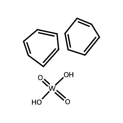 [O]=[W](=[O])([OH])[OH].c1ccccc1.c1ccccc1